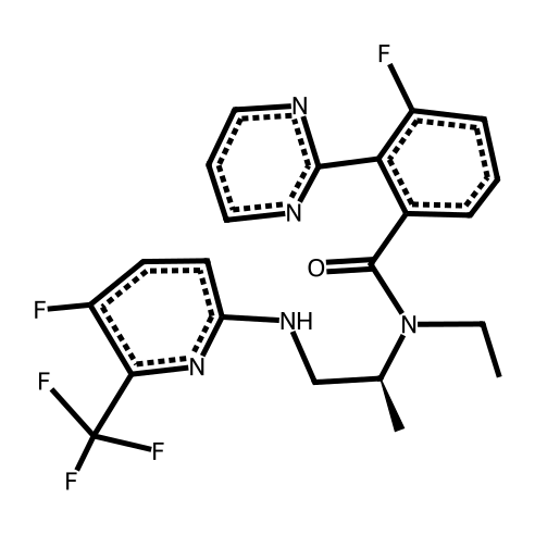 CCN(C(=O)c1cccc(F)c1-c1ncccn1)[C@@H](C)CNc1ccc(F)c(C(F)(F)F)n1